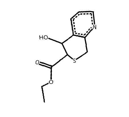 CCOC(=O)C1SCc2ncccc2C1O